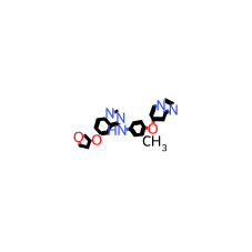 Cc1cc(Nc2ncnc3ccc(O[C@H]4CCOC4)cc23)ccc1Oc1ccn2ccnc2c1